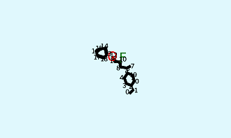 CC[C@H]1CC[C@H](C(C)CC(F)COc2ccccc2)CC1